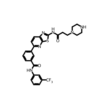 O=C(CCN1CCNCC1)Nc1nc2ccc(-c3cccc(C(=O)Nc4cccc(C(F)(F)F)c4)c3)nc2s1